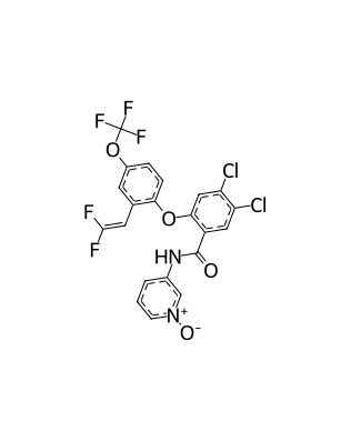 O=C(Nc1ccc[n+]([O-])c1)c1cc(Cl)c(Cl)cc1Oc1ccc(OC(F)(F)F)cc1C=C(F)F